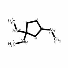 CNC1C[CH]C(NC)(NC)C1